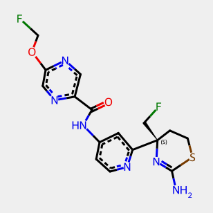 NC1=N[C@](CF)(c2cc(NC(=O)c3cnc(OCF)cn3)ccn2)CCS1